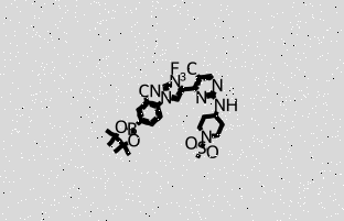 CC1(C)OB(c2ccc(-n3cnc(-c4nc(NC5CCN(S(C)(=O)=O)CC5)ncc4C(F)(F)F)c3)c(C#N)c2)OC1(C)C